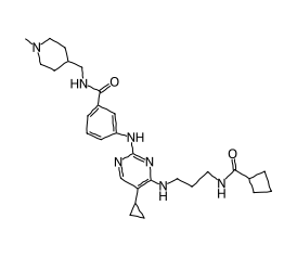 CN1CCC(CNC(=O)c2cccc(Nc3ncc(C4CC4)c(NCCCNC(=O)C4CCC4)n3)c2)CC1